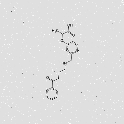 CC(Oc1cccc(CNCCCC(=O)c2ccccc2)c1)C(=O)O